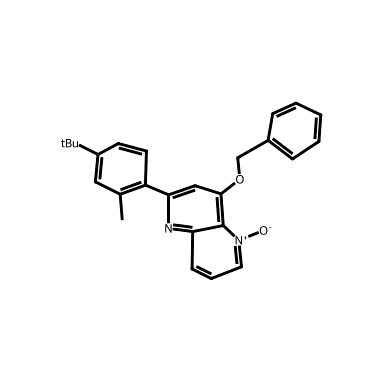 Cc1cc(C(C)(C)C)ccc1-c1cc(OCc2ccccc2)c2c(ccc[n+]2[O-])n1